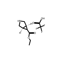 CCOC(=O)C1[C@H]2CNC[C@@H]12.O=C(O)C(F)(F)F